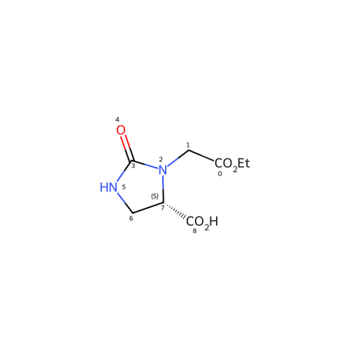 CCOC(=O)CN1C(=O)NC[C@H]1C(=O)O